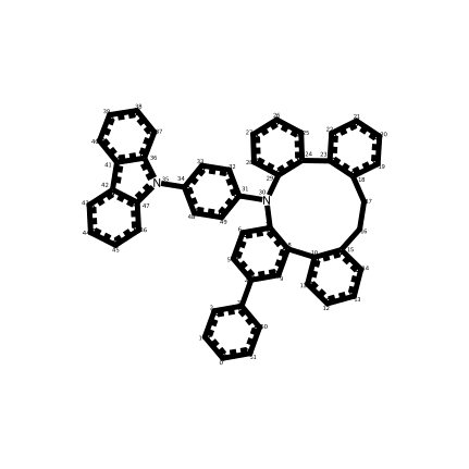 c1ccc(-c2ccc3c(c2)-c2ccccc2CCc2ccccc2-c2ccccc2N3c2ccc(-n3c4ccccc4c4ccccc43)cc2)cc1